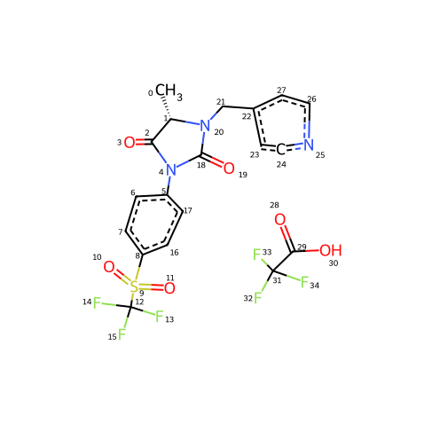 C[C@H]1C(=O)N(c2ccc(S(=O)(=O)C(F)(F)F)cc2)C(=O)N1Cc1ccncc1.O=C(O)C(F)(F)F